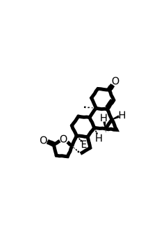 CC[C@]12CCC3[C@H](C1CC[C@@]21CCC(=O)O1)[C@H]1C[C@H]1C1=CC(=O)CC[C@@]13C